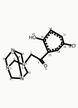 O=C(C[N+]12CN3CN(CN(C3)C1)C2)c1cc(Cl)ccc1O